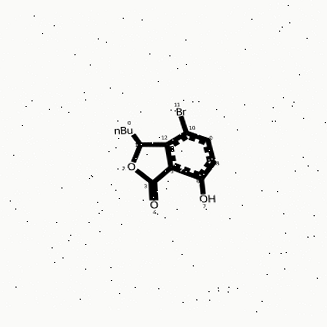 CCCCC1OC(=O)c2c(O)ccc(Br)c21